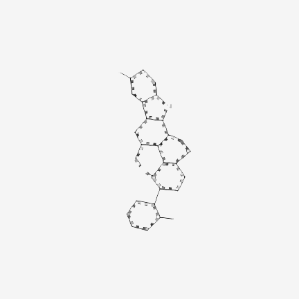 CCc1ccccc1-c1ccc2ccc3c4[nH]c5ccc(C(C)(C)C)cc5c4cc4ccc1c2c43